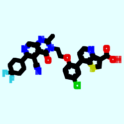 Cc1nc2cnc(C3CCC(F)(F)CC3)c(C#N)c2c(=O)n1CCOc1ccc(Cl)cc1-c1ccnc2c(C(=O)O)csc12